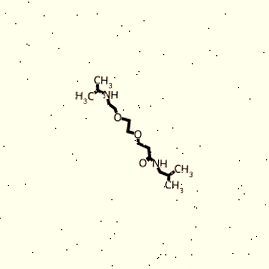 CC(C)CNC(=O)CCOCCOCCNC(C)C